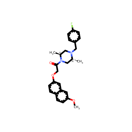 COc1ccc2ccc(OCC(=O)N3C[C@@H](C)N(Cc4ccc(F)cc4)C[C@@H]3C)cc2c1